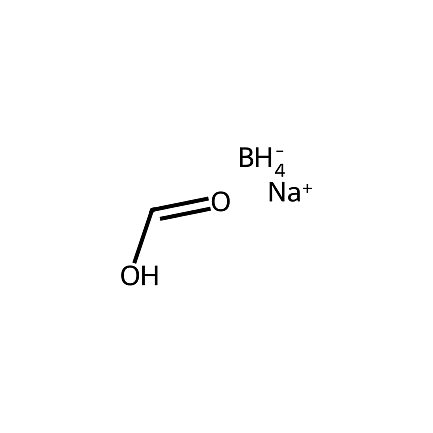 O=CO.[BH4-].[Na+]